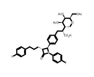 CC(=O)OC[C@H]1OC[C@H]([C@@H](Cc2ccc([C@@H]3[C@@H](CCCc4ccc(F)cc4)C(=O)N3c3ccc(F)cc3)cc2)C(=O)O)[C@@H](OC(C)=O)[C@H]1OC(C)=O